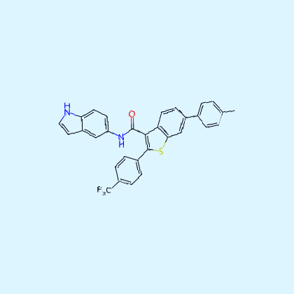 Cc1ccc(-c2ccc3c(C(=O)Nc4ccc5[nH]ccc5c4)c(-c4ccc(C(F)(F)F)cc4)sc3c2)cc1